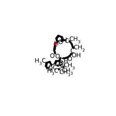 C=C1C[C@H](C)C[C@@H]2CC=C[C@@H](C/C=C\C(=O)O[C@H]([C@H](/C=C/[C@@H]3CC(C)=CCO3)O[Si](C(C)C)(C(C)C)C(C)C)C[C@@H]3OC3[C@@H](O)C1)O2